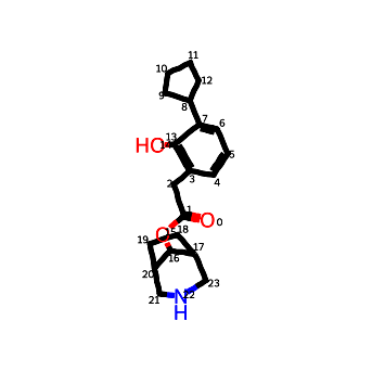 O=C(Cc1cccc(C2CCCC2)c1O)OC1C2CCC1CNC2